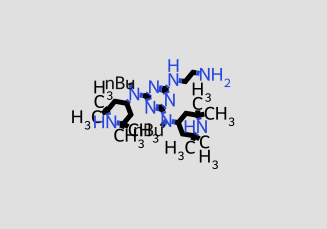 CCCCN(c1nc(NCCN)nc(N(CCCC)C2CC(C)(C)NC(C)(C)C2)n1)C1CC(C)(C)NC(C)(C)C1